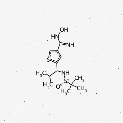 CC(C)C(N[S@@+]([O-])C(C)(C)C)c1cc(C(=N)NO)cs1